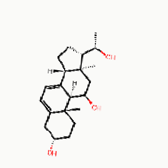 C[C@H](O)[C@H]1CC[C@H]2C3=CC=C4C[C@@H](O)CC[C@@]4(C)[C@@H]3[C@H](O)C[C@]12C